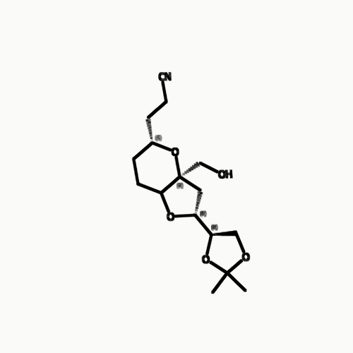 CC1(C)OC[C@H]([C@H]2C[C@]3(CO)O[C@@H](CCC#N)CCC3O2)O1